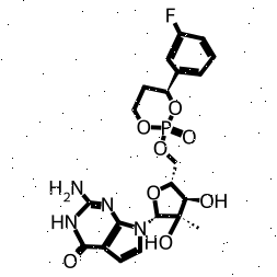 C[C@@]1(O)[C@H](O)[C@@H](COP2(=O)OCC[C@@H](c3cccc(F)c3)O2)O[C@H]1n1ccc2c(=O)[nH]c(N)nc21